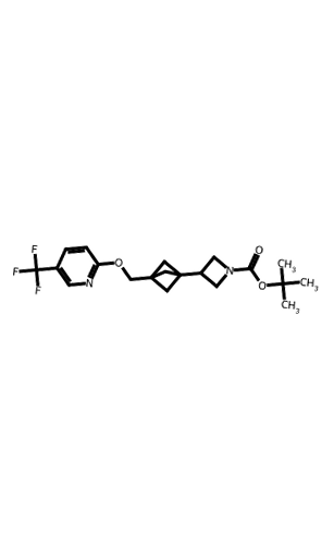 CC(C)(C)OC(=O)N1CC(C23CC(COc4ccc(C(F)(F)F)cn4)(C2)C3)C1